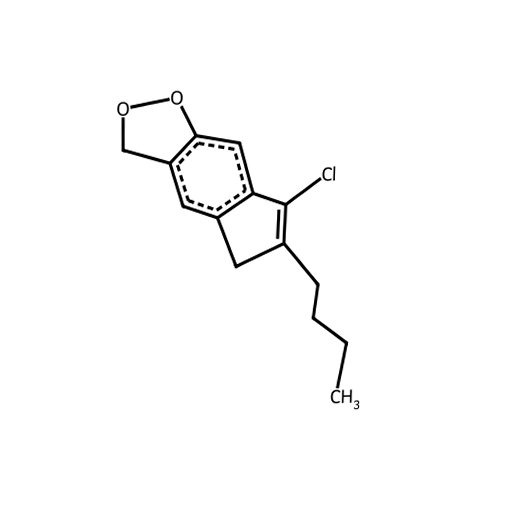 CCCCC1=C(Cl)c2cc3c(cc2C1)COO3